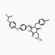 CC(=O)[C@@H](C)Cn1c(=O)[nH]/c(=N\c2ccc(Oc3ccc(OC(F)F)cn3)cc2)n(Cc2ccc(Cl)cc2)c1=O